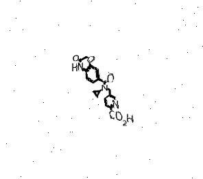 O=C1COc2cc(C(=O)N(Cc3ccc(C(=O)O)nc3)C3CC3)ccc2N1